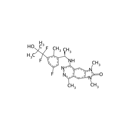 Cc1c([C@@H](C)Nc2nnc(C)c3cc4c(cc23)n(C)c(=O)n4C)cc(F)cc1C(F)(F)C(C)(C)O